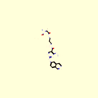 CCCNc1nc(Nc2ccc3cnccc3c2)ncc1C(=O)NCCCNC(=O)[C@H](C)N(C)C(=O)OC(C)(C)C